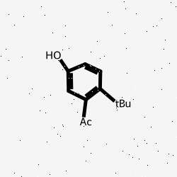 CC(=O)c1cc(O)ccc1C(C)(C)C